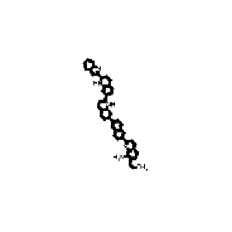 C/C=C\c1ccc2ccc(-c3ccc4cc(C5=CC6NC(c7ccc8c(c7)NC(C7=NC9C=CC=CC9=C7)C=C8)=CC=C6C=C5)ccc4c3)nc2c1N